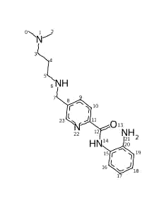 CN(C)CCCNCc1ccc(C(=O)Nc2ccccc2N)nc1